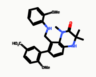 COc1ccccc1NCc1c(-c2cc(C(=O)O)ccc2OC)ccc2c1N(C)C(=O)C(C)(C)N2